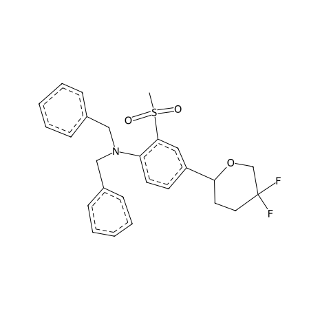 CS(=O)(=O)c1cc(C2CCC(F)(F)CO2)ccc1N(Cc1ccccc1)Cc1ccccc1